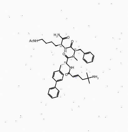 CC(=O)NCCCC[C@H](NC(=O)[C@@H](Cc1ccccc1)N(C)C(=O)[C@@H](Cc1ccc(-c2ccccc2)cc1)NC(=O)/C=C/CC(C)(C)N)C(N)=O